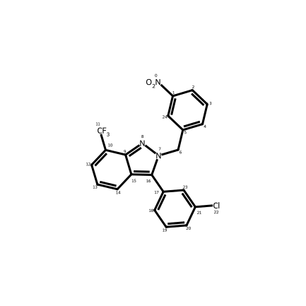 O=[N+]([O-])c1cccc(Cn2nc3c(C(F)(F)F)cccc3c2-c2cccc(Cl)c2)c1